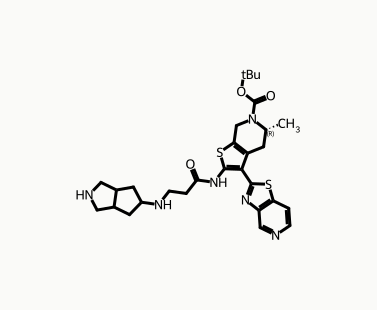 C[C@@H]1Cc2c(sc(NC(=O)CCNC3CC4CNCC4C3)c2-c2nc3cnccc3s2)CN1C(=O)OC(C)(C)C